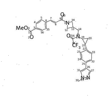 COC(=O)c1ccc(/C=C/C(=O)N2CC(CN(C(=O)C(F)(F)F)C3CC3c3ccc(-c4cnn(C)c4)cc3)C2)cc1